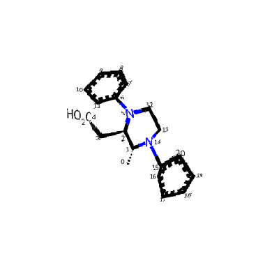 C[C@@H]1[C@@H](CC(=O)O)N(c2ccccc2)CCN1c1ccccc1